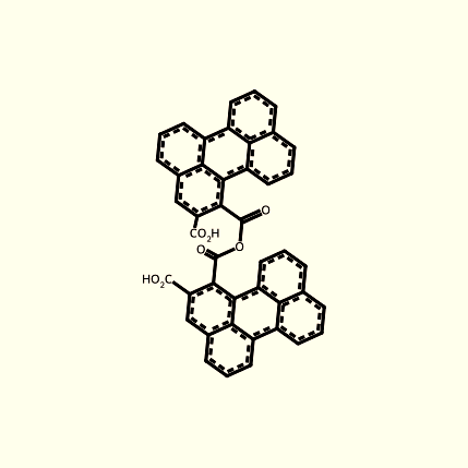 O=C(O)c1cc2cccc3c4cccc5cccc(c(c1C(=O)OC(=O)c1c(C(=O)O)cc6cccc7c8cccc9cccc(c1c67)c98)c23)c54